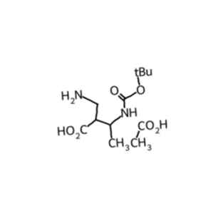 CC(=O)O.CC(NC(=O)OC(C)(C)C)C(CN)C(=O)O